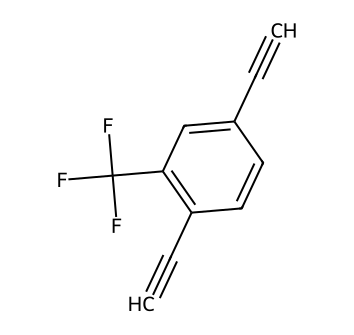 C#Cc1ccc(C#C)c(C(F)(F)F)c1